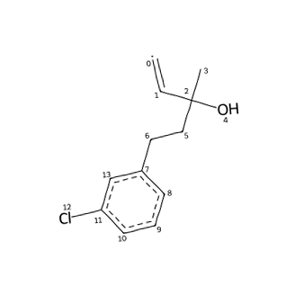 [CH]=CC(C)(O)CCc1cccc(Cl)c1